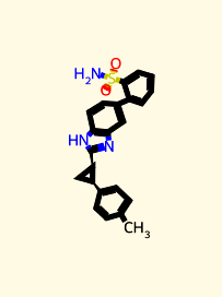 Cc1ccc([C@H]2C[C@H]2c2nc3cc(-c4ccccc4S(N)(=O)=O)ccc3[nH]2)cc1